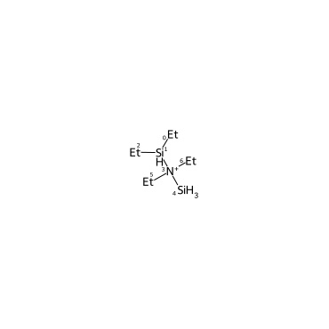 CC[SiH](CC)[N+]([SiH3])(CC)CC